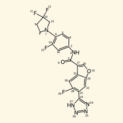 O=C(Nc1ccc(N2CCC(F)(F)C2)c(F)c1)c1coc2cc(-c3nnn[nH]3)c(F)cc12